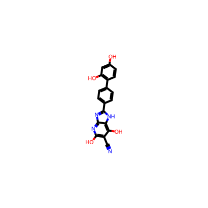 N#Cc1c(O)nc2nc(-c3ccc(-c4ccc(O)cc4O)cc3)[nH]c2c1O